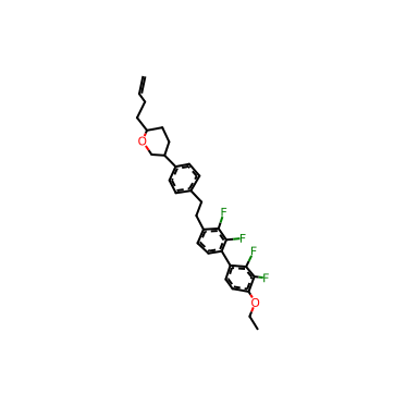 C=CCCC1CCC(c2ccc(CCc3ccc(-c4ccc(OCC)c(F)c4F)c(F)c3F)cc2)CO1